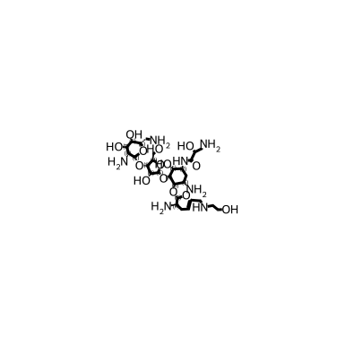 NCC(O)C(=O)N[C@@H]1C[C@H](N)[C@@H](O[C@H]2OC(CNCCO)=CC[C@H]2N)[C@H](O[C@@H]2O[C@H](CO)[C@@H](O[C@H]3O[C@@H](CN)[C@@H](O)[C@H](O)[C@H]3N)[C@H]2O)[C@H]1O